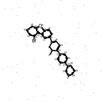 CC1CC(c2ccc3oc4cccc(Br)c4c3c2)=CC=C1c1ccc(-c2ccccc2)cc1